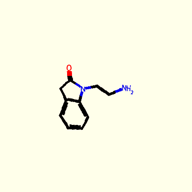 NCCN1C(=O)Cc2ccccc21